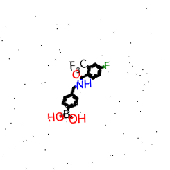 O=C(NCc1ccc(B(O)O)cc1)c1ccc(F)cc1C(F)(F)F